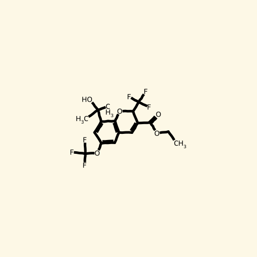 CCOC(=O)C1=Cc2cc(OC(F)(F)F)cc(C(C)(C)O)c2OC1C(F)(F)F